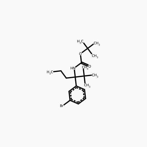 CCCC(NC(=O)OC(C)(C)C)(c1cccc(Br)c1)C(C)(C)C